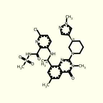 Cc1cc([C@@H](C)Nc2ccc(Cl)nc2C(=O)NS(C)(=O)=O)c2nc(N3CCC[C@H](c4cnn(C)c4)C3)n(C)c(=O)c2c1